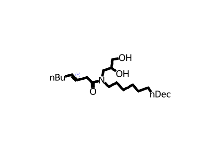 CCCC/C=C/CC(=O)N(CCCCCCCCCCCCCCCC)CC(O)CO